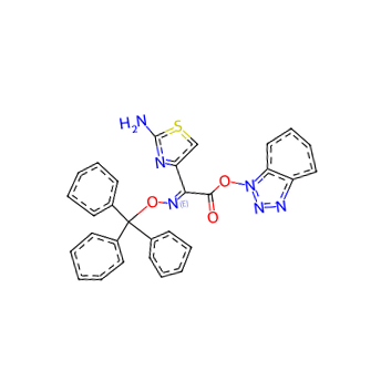 Nc1nc(/C(=N\OC(c2ccccc2)(c2ccccc2)c2ccccc2)C(=O)On2nnc3ccccc32)cs1